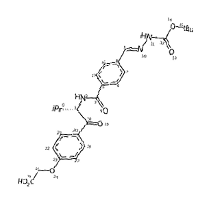 CC(C)[C@H](NC(=O)c1ccc(C=NNC(=O)OC(C)(C)C)cc1)C(=O)c1ccc(OCC(=O)O)cc1